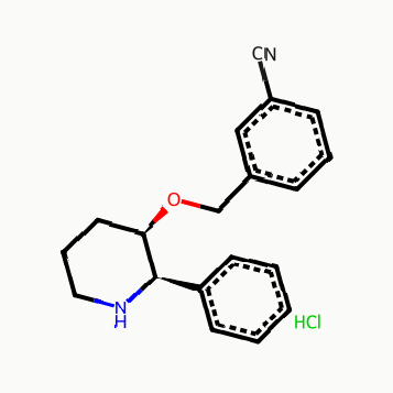 Cl.N#Cc1cccc(CO[C@@H]2CCCN[C@@H]2c2ccccc2)c1